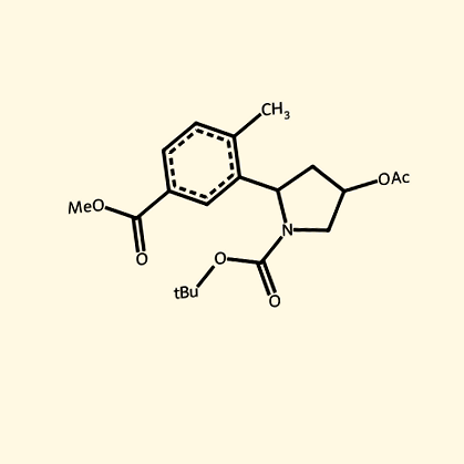 COC(=O)c1ccc(C)c(C2CC(OC(C)=O)CN2C(=O)OC(C)(C)C)c1